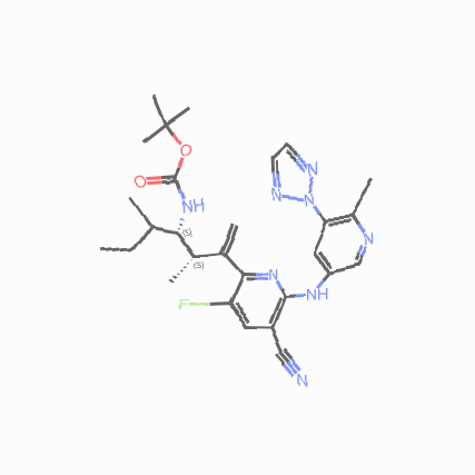 C=C(c1nc(Nc2cnc(C)c(-n3nccn3)c2)c(C#N)cc1F)[C@H](C)[C@@H](NC(=O)OC(C)(C)C)C(C)CC